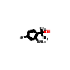 COc1cc(C(C)C)ccc1C(C)(C)O